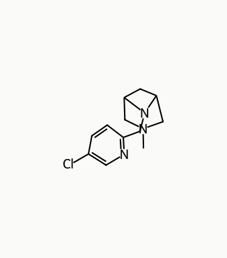 CN1CC2CC(C1)N2Cc1ccc(Cl)cn1